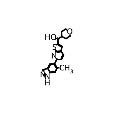 Cc1cc2[nH]ncc2cc1-c1ccc2cc([C@@H](O)C3CCOCC3)sc2n1